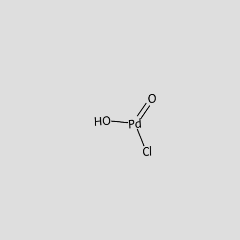 [O]=[Pd]([OH])[Cl]